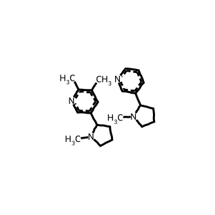 CN1CCCC1c1cccnc1.Cc1cc(C2CCCN2C)cnc1C